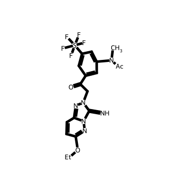 CCOc1ccc2nn(CC(=O)c3cc(N(C)C(C)=O)cc(S(F)(F)(F)(F)F)c3)c(=N)n2n1